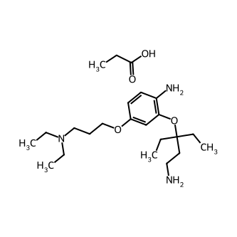 CCC(=O)O.CCN(CC)CCCOc1ccc(N)c(OC(CC)(CC)CCN)c1